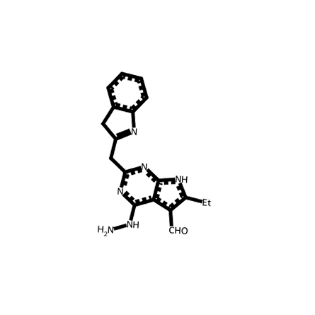 CCc1[nH]c2nc(CC3=Nc4ccccc4C3)nc(NN)c2c1C=O